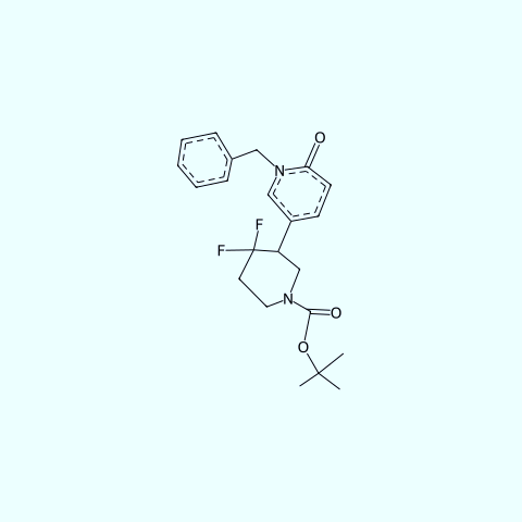 CC(C)(C)OC(=O)N1CCC(F)(F)C(c2ccc(=O)n(Cc3ccccc3)c2)C1